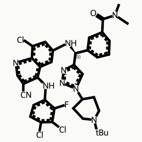 CN(C)C(=O)c1cccc([C@H](Nc2cc(Cl)c3ncc(C#N)c(Nc4ccc(Cl)c(Cl)c4F)c3c2)c2cn(C3CCN(C(C)(C)C)CC3)nn2)c1